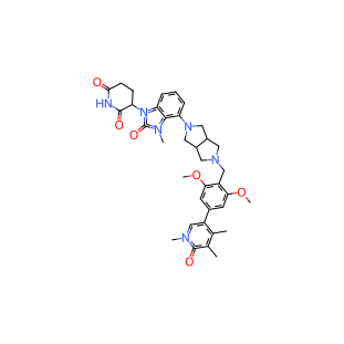 COc1cc(-c2cn(C)c(=O)c(C)c2C)cc(OC)c1CN1CC2CN(c3cccc4c3n(C)c(=O)n4C3CCC(=O)NC3=O)CC2C1